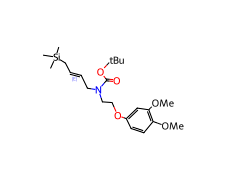 COc1ccc(OCCN(C/C=C/C[Si](C)(C)C)C(=O)OC(C)(C)C)cc1OC